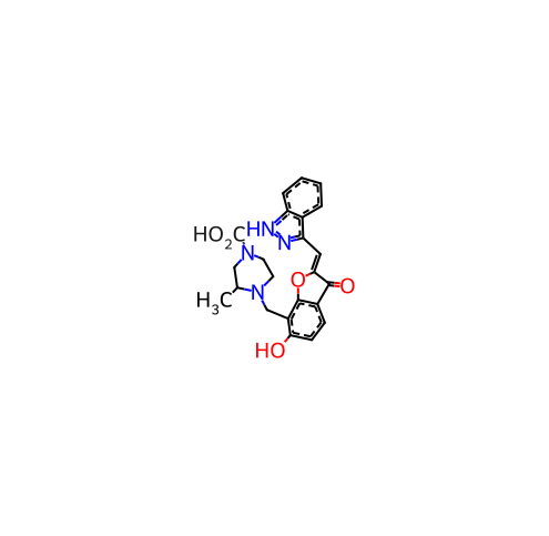 CC1CN(C(=O)O)CCN1Cc1c(O)ccc2c1O/C(=C\c1n[nH]c3ccccc13)C2=O